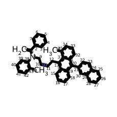 C=C(c1ccccc1)N(C/C=C\Cc1c2ccccc2c(-c2ccc3ccccc3c2)c2cccc(C)c12)c1ccccc1C